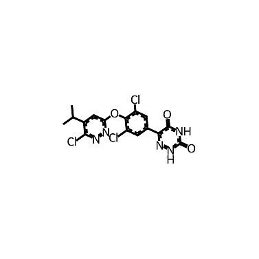 CC(C)c1cc(Oc2c(Cl)cc(-c3n[nH]c(=O)[nH]c3=O)cc2Cl)nnc1Cl